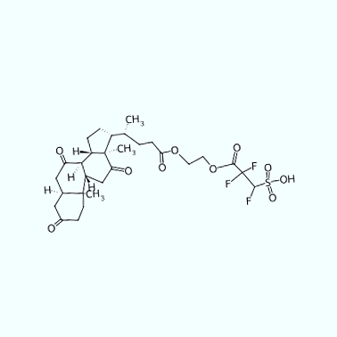 C[C@H](CCC(=O)OCCOC(=O)C(F)(F)C(F)S(=O)(=O)O)[C@H]1CC[C@H]2[C@@H]3C(=O)C[C@@H]4CC(=O)CC[C@]4(C)[C@H]3CC(=O)[C@]12C